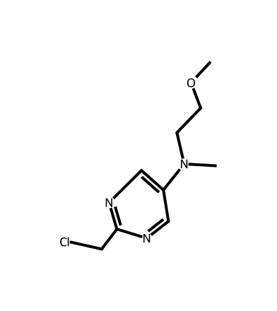 COCCN(C)c1cnc(CCl)nc1